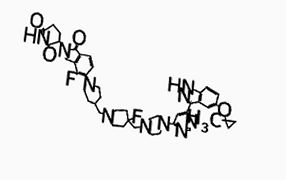 CC1(Oc2ccc3[nH]nc(-c4cc(N5CCN(CC6(F)CCN(CC7CCN(c8ccc9c(c8F)CN(C8CCC(=O)NC8=O)C9=O)CC7)CC6)CC5)ncn4)c3c2)CC1